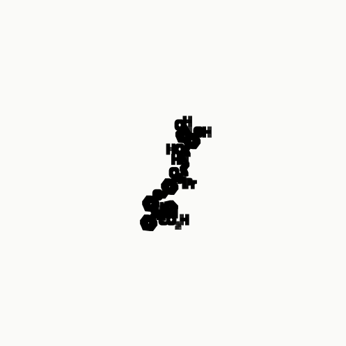 CC(C)N(CCCNC[C@H](O)c1ccc(O)c2[nH]c(=O)ccc12)C(=O)c1ccc(COc2cccc(C(c3ccccc3)N(C(=O)O)[C@H]3CN4CCC3CC4)c2)cc1